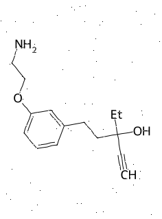 C#CC(O)(CC)CCc1cccc(OCCN)c1